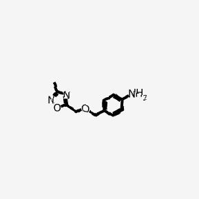 Cc1noc(COCc2ccc(N)cc2)n1